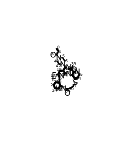 C=CC(=O)N1CCN(c2nc(=O)n3c4nc(c(F)cc24)-c2c(F)cccc2NC(=O)CCSc2ccnc(C(C)C)c2-3)CC1